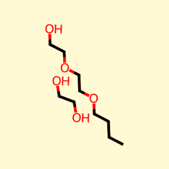 CCCCOCCOCCO.OCCO